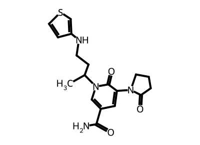 CC(CCNc1ccsc1)n1cc(C(N)=O)cc(N2CCCC2=O)c1=O